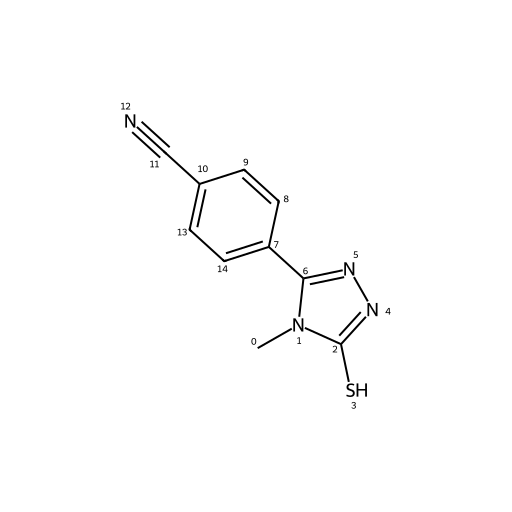 Cn1c(S)nnc1-c1ccc(C#N)cc1